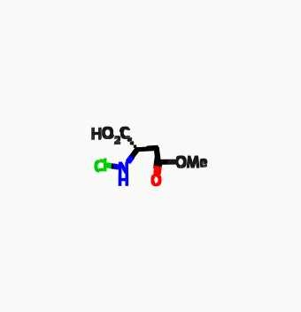 COC(=O)C[C@H](NCl)C(=O)O